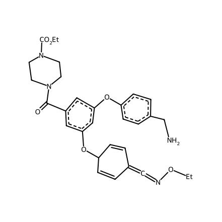 CCON=C=C1C=CC(Oc2cc(Oc3ccc(CN)cc3)cc(C(=O)N3CCN(C(=O)OCC)CC3)c2)C=C1